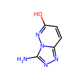 Nc1nnc2ccc(O)nn12